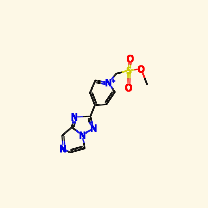 COS(=O)(=O)C[n+]1ccc(-c2nc3cnccn3n2)cc1